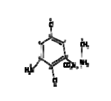 CN.Nc1cc(Cl)cc(C(=O)O)c1Cl